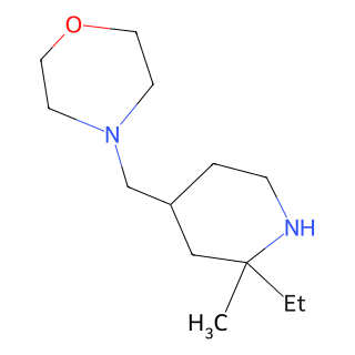 CCC1(C)CC(CN2CCOCC2)CCN1